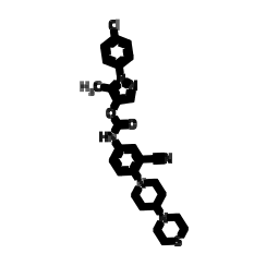 Cc1c(OC(=O)Nc2ccc(N3CCC(N4CCSCC4)CC3)c(C#N)c2)cnn1-c1ccc(Cl)cc1